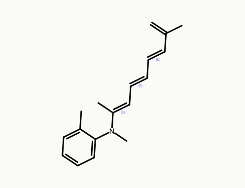 C=C(C)/C=C/C=C/C=C(\C)N(C)c1ccccc1C